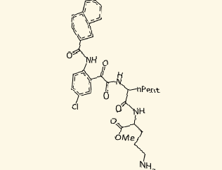 CCCCCC(NC(=O)C(=O)c1cc(Cl)ccc1NC(=O)c1ccc2ccccc2c1)C(=O)NC(CCCN)C(=O)OC